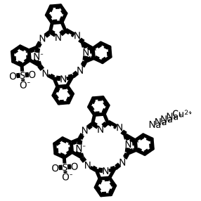 O=S(=O)([O-])c1cccc2c3nc4nc(nc5[n-]c(nc6nc(nc([n-]3)c12)-c1ccccc1-6)c1ccccc51)-c1ccccc1-4.O=S(=O)([O-])c1cccc2c3nc4nc(nc5[n-]c(nc6nc(nc([n-]3)c12)-c1ccccc1-6)c1ccccc51)-c1ccccc1-4.[Cu+2].[Na+].[Na+].[Na+].[Na+]